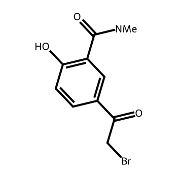 CNC(=O)c1cc(C(=O)CBr)ccc1O